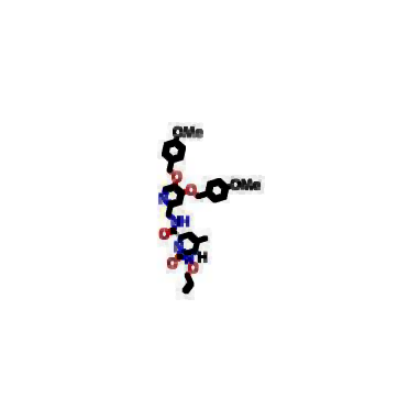 C=CCON1C(=O)N2C[C@H]1C(C)=C[C@H]2C(=O)NCc1cc(OCc2ccc(OC)cc2)c(OCc2ccc(OC)cc2)cn1